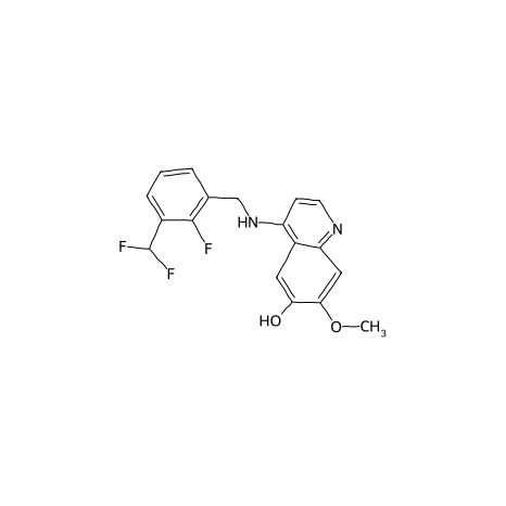 COc1cc2nccc(NCc3cccc(C(F)F)c3F)c2cc1O